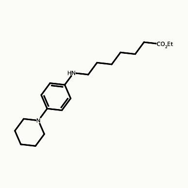 CCOC(=O)CCCCCCNc1ccc(N2CCCCC2)cc1